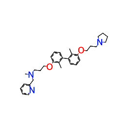 Cc1c(OCCCN(C)Cc2ccccn2)cccc1-c1cccc(OCCCN2CCCC2)c1C